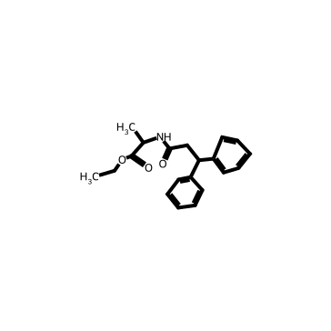 CCOC(=O)C(C)NC(=O)CC(c1ccccc1)c1ccccc1